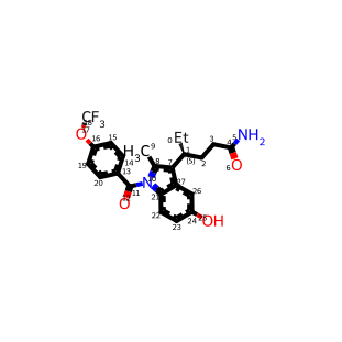 CC[C@@H](CCC(N)=O)c1c(C)n(C(=O)c2ccc(OC(F)(F)F)cc2)c2ccc(O)cc12